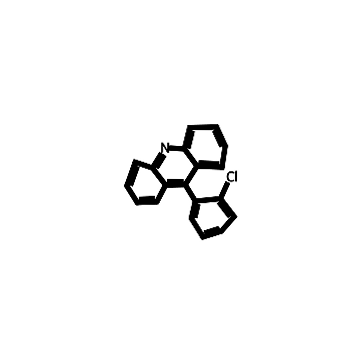 Clc1ccccc1-c1c2ccccc2nc2ccccc12